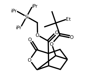 CCC(C)(C)C(=O)OC1C2CC3C1OC(=O)C3(C(=O)OC[Si](C(C)C)(C(C)C)C(C)C)C2